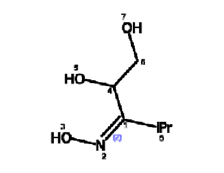 CC(C)/C(=N/O)C(O)CO